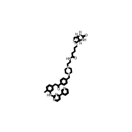 Cc1ccc(CC(=O)c2ccc(CN3CCN(CCNC(=O)CCCC[C@@H]4SC[C@@H]5NC(=O)N[C@@H]54)CC3)cc2)cc1Nc1nccc(-c2cccnc2)n1